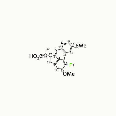 COc1cc2c(cc1F)C(=Cc1ccc(SC)cc1)C(C(C)C(=O)O)=C2